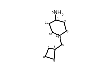 NC1CCN(CC2CCC2)CC1